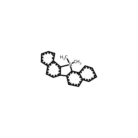 C[Si]1(C)c2c(ccc3ccccc23)-c2ccc3ccccc3c21